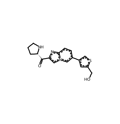 O=C(c1cn2cc(-c3csc(CO)c3)ccc2n1)[C@@H]1CCCN1